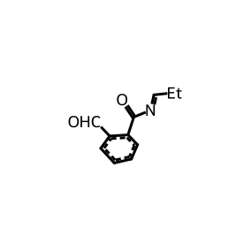 [CH2]CC=NC(=O)c1ccccc1C=O